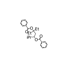 CCC(CC)(CC(OC(=O)c1ccccc1)C(C)C)OC(=O)c1ccccc1